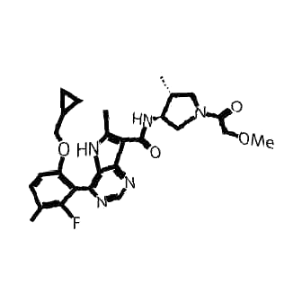 COCC(=O)N1C[C@@H](C)[C@H](NC(=O)c2c(C)[nH]c3c(-c4c(OCC5CC5)ccc(C)c4F)ncnc23)C1